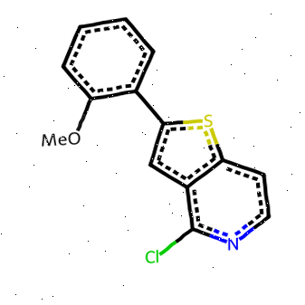 COc1ccccc1-c1cc2c(Cl)nccc2s1